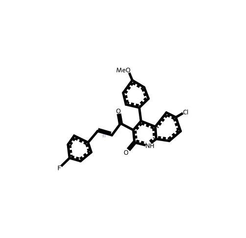 COc1ccc(-c2c(C(=O)/C=C/c3ccc(F)cc3)c(=O)[nH]c3ccc(Cl)cc23)cc1